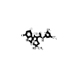 C[C@]1(O)CC2C(C(=O)Nc3cc(C(F)(F)F)cc(C(F)(F)F)n3)C(C(=O)O)C3(C(=O)Nc4c(Cl)cc(Cl)cc43)N2C1